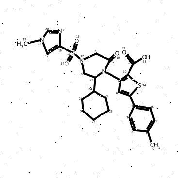 Cc1ccc(-c2cc(N3C(=O)CN(S(=O)(=O)c4cn(C)cn4)CC3C3CCCCC3)c(C(=O)O)s2)cc1